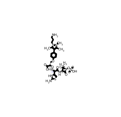 Cc1c(-c2ccc(OC[C@H](O/N=C(\C(=O)N[C@@H]3C(=O)N(OS(=O)(=O)O)C3(C)C)C3=CSC(N)N3)C(=O)O)cc2)c(C)[n+](C)n1CCCN